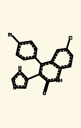 CCc1ccc(-c2c(-c3cnc[nH]3)c(=O)[nH]c3ccc(Cl)cc23)cc1